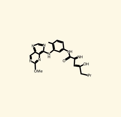 COc1ncc2ncnc(Nc3cc(NC(=O)C(=N)/C=C(\O)CC(C)C)ccc3C)c2n1